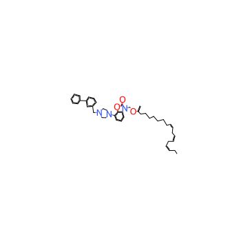 C=C(CCCCCCC/C=C\C/C=C\C/C=C\CC)OCn1c(=O)oc2c(N3CCN(Cc4cccc(-c5ccccc5)c4)CC3)cccc21